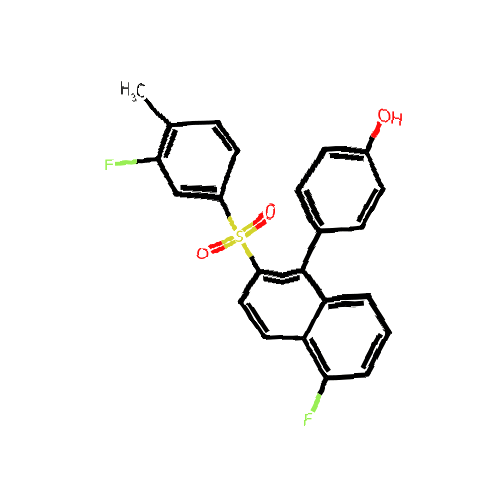 Cc1ccc(S(=O)(=O)c2ccc3c(F)cccc3c2-c2ccc(O)cc2)cc1F